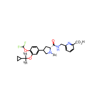 [2H]C([2H])(Oc1cc(C2C[C@H](C(=O)NCc3cccc(C(=O)O)n3)N(C(C)=O)C2)ccc1OC(F)F)C1CC1